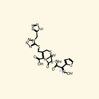 O=C(O)C1=C(CSc2nnnn2Cc2nnn[nH]2)CS[C@@H]2[C@H](NC(=O)/C(=N/O)c3ccco3)C(=O)N12